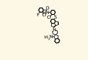 NC1c2ccccc2CC12CCN(C1=C3C=Cc4c(Sc5cccc(NC(=O)c6cccc(F)c6Cl)c5Cl)ccc(c43)C1)CC2